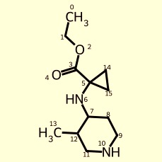 CCOC(=O)C1(NC2CCNCC2C)CC1